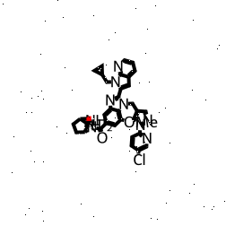 COc1cc(C(=O)N2CC3CCC2[C@@H]3N)cc2nc(-c3cc4cccnc4n3CC3CC3)n(Cc3cnn(-c4ccc(Cl)cn4)c3)c12